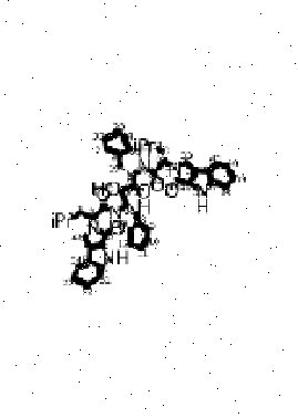 CC(C)CC(C(=O)N[C@@H](Cc1ccccc1)[C@@H](O)[C@H](O)[C@H](Cc1ccccc1)NC(=O)[C@H](CC(C)C)N1Cc2c([nH]c3ccccc23)C1=O)N1Cc2c([nH]c3ccccc23)C1=O